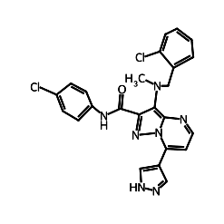 CN(Cc1ccccc1Cl)c1c(C(=O)Nc2ccc(Cl)cc2)nn2c(-c3cn[nH]c3)ccnc12